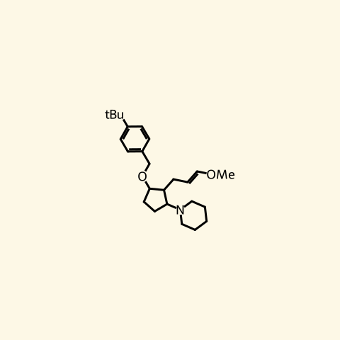 COC=CCC1C(OCc2ccc(C(C)(C)C)cc2)CCC1N1CCCCC1